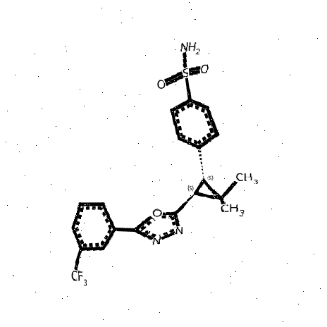 CC1(C)[C@@H](c2ccc(S(N)(=O)=O)cc2)[C@@H]1c1nnc(-c2cccc(C(F)(F)F)c2)o1